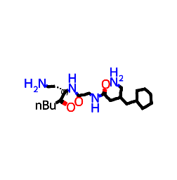 CCCCC(=O)[C@H](CCN)NC(=O)CNC(=O)CC(CN)CC1CCCCC1